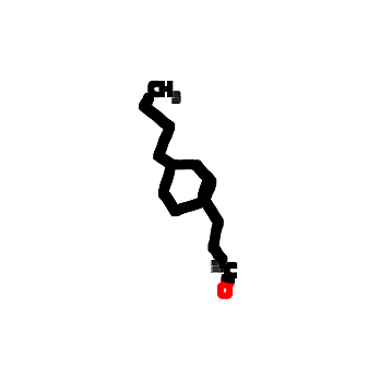 CCCCC1CC=C(CC[13CH]=O)CC1